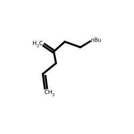 C=CCC(=C)CCCCCC